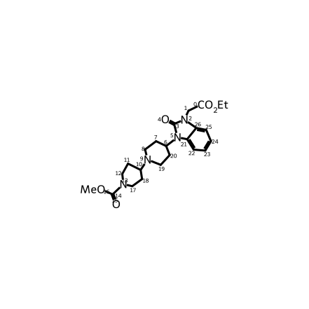 CCOC(=O)Cn1c(=O)n(C2CCN(C3CCN(C(=O)OC)CC3)CC2)c2ccccc21